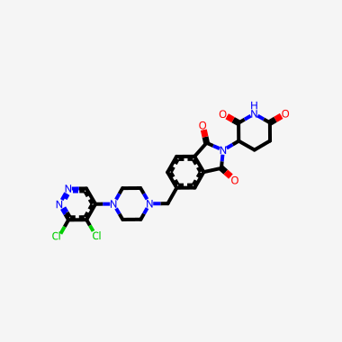 O=C1CCC(N2C(=O)c3ccc(CN4CCN(c5cnnc(Cl)c5Cl)CC4)cc3C2=O)C(=O)N1